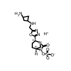 NC1CC(NCc2nnc([C@@H]3CC[C@@H]4CN3C(=O)N4OS(=O)(=O)[O-])o2)C1.[H+]